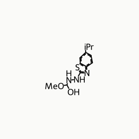 COC(O)NNc1nc2ccc(C(C)C)cc2s1